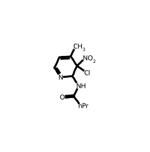 CCCC(=O)NC1N=CC=C(C)C1(Cl)[N+](=O)[O-]